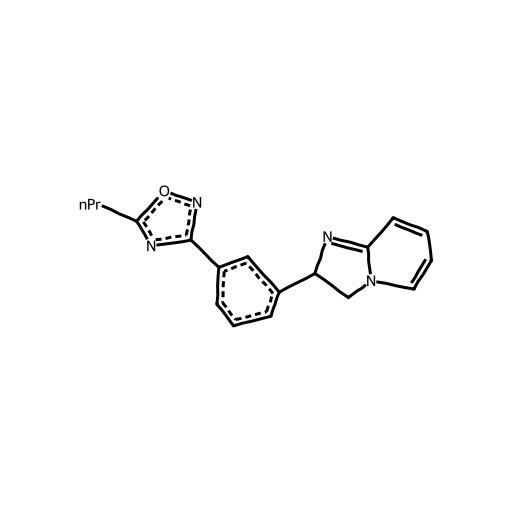 CCCc1nc(-c2cccc(C3CN4C=CC=CC4=N3)c2)no1